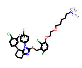 Cc1cc(C2CCCc3nc(SCc4c(F)ccc(OCCOCCCCCN(C)C)c4F)n(-c4ccc(F)cc4)c32)ccc1Cl